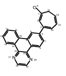 ClC1=CC(c2ccc3c(c2)c2ccccc2c2nccnc32)=CC=CC1